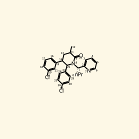 CCC[C@@H](c1ccccn1)N1C(=O)C(C)CC(c2cccc(Cl)c2)C1c1ccc(Cl)cc1